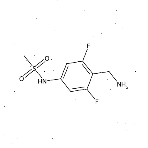 CS(=O)(=O)Nc1cc(F)c(CN)c(F)c1